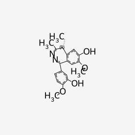 CC[C@H]1C(C)=NN=C(c2ccc(OC)c(O)c2)c2cc(OC)c(O)cc21